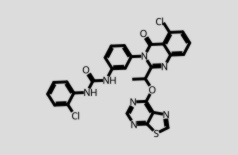 CC(Oc1ncnc2scnc12)c1nc2cccc(Cl)c2c(=O)n1-c1cccc(NC(=O)Nc2ccccc2Cl)c1